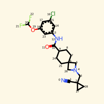 N#CC1(CN2CC3(CCC(C(=O)Nc4cc(Cl)cc(OC(F)F)c4)CC3)C2)CC1